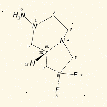 NN1CCN2CC(F)(F)C[C@@H]2C1